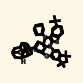 CC(C)(C)c1ccc2sc3c(c2c1)N(c1ccccc1)c1cc([C@]24CC5C6CC7C[C@@H]5C(C2)[C@@H](C7)C6C4)cc2c1B3c1cc3c(cc1O2)C(C)(C)CC3(C)C